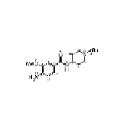 COc1cc(C(=O)NC2CCN(C(C)(C)C)CC2)ccc1N